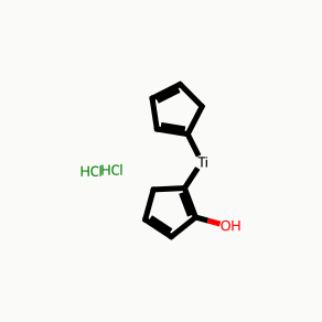 Cl.Cl.OC1=[C]([Ti][C]2=CC=CC2)CC=C1